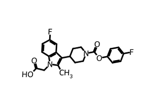 Cc1c(C2CCN(C(=O)Oc3ccc(F)cc3)CC2)c2cc(F)ccc2n1CC(=O)O